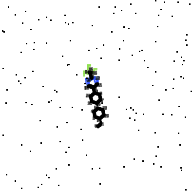 CC[C@H]1CC[C@H](C2CCC(c3cnc(C(F)(F)F)nc3)CC2)CC1